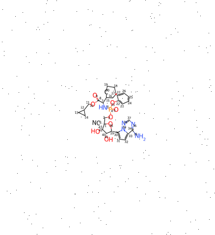 N#C[C@]1(COP(=O)(NC(C(=O)OCC2CC2)C2CCCCC2)Oc2ccccc2)O[C@@H](c2ccc3c(N)ncnn23)[C@H](O)[C@@H]1O